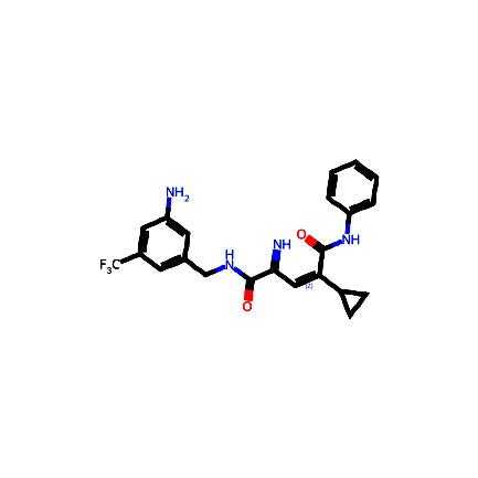 N=C(/C=C(\C(=O)Nc1ccccc1)C1CC1)C(=O)NCc1cc(N)cc(C(F)(F)F)c1